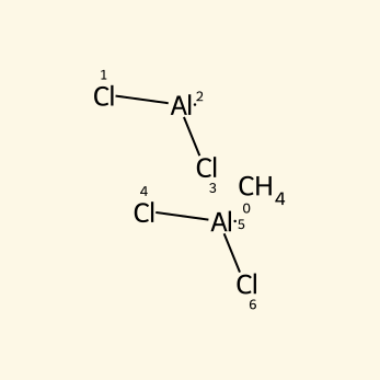 C.[Cl][Al][Cl].[Cl][Al][Cl]